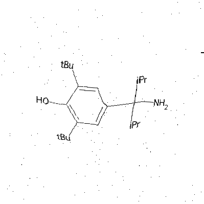 CC(C)C(N)(c1cc(C(C)(C)C)c(O)c(C(C)(C)C)c1)C(C)C